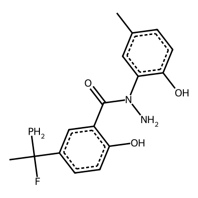 Cc1ccc(O)c(N(N)C(=O)c2cc(C(C)(F)P)ccc2O)c1